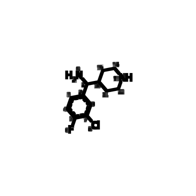 NC(c1ccc(F)c(Cl)c1)C1CCNCC1